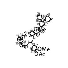 COc1cc(CCC[Si](C)(C)O[Si](C)(C)O[Si](C)(C)CCCc2ccc(OC(=O)Oc3ccc(C4(c5ccccc5)CCCCC4)cc3)c(OC)c2)ccc1OC(C)=O